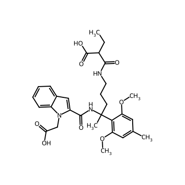 CCC(C(=O)O)C(=O)NCCCC(C)(NC(=O)c1cc2ccccc2n1CC(=O)O)c1c(OC)cc(C)cc1OC